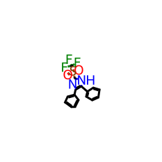 O=S(=O)(c1nc(-c2ccccc2)c(-c2ccccc2)[nH]1)C(F)(F)F